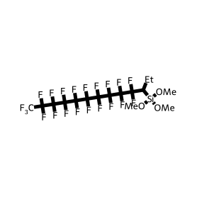 CCC(C(F)(F)C(F)(F)C(F)(F)C(F)(F)C(F)(F)C(F)(F)C(F)(F)C(F)(F)C(F)(F)C(F)(F)F)[Si](OC)(OC)OC